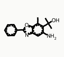 Cc1c(C(C)(C)O)c(N)cc2nc(-c3ccccc3)oc12